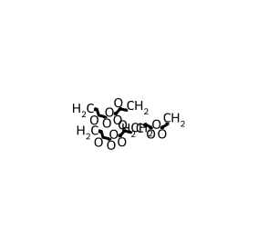 C=CC(=O)C(=O)OC(=O)C(=O)C=C.C=CC(=O)C(=O)OC(=O)C(=O)C=C.C=CC(=O)OC(=O)C=C